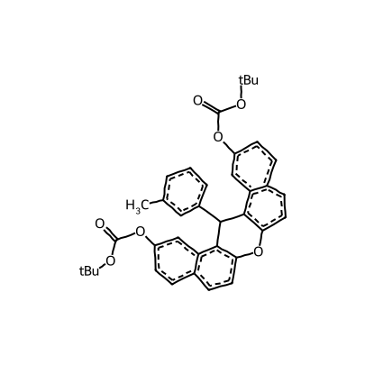 Cc1cccc(C2c3c(ccc4ccc(OC(=O)OC(C)(C)C)cc34)Oc3ccc4ccc(OC(=O)OC(C)(C)C)cc4c32)c1